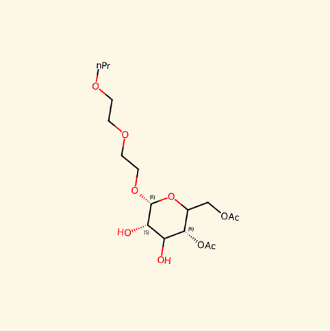 CCCOCCOCCO[C@@H]1OC(COC(C)=O)[C@H](OC(C)=O)C(O)[C@@H]1O